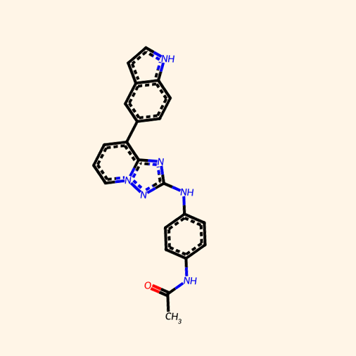 CC(=O)Nc1ccc(Nc2nc3c(-c4ccc5[nH]ccc5c4)cccn3n2)cc1